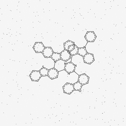 c1ccc(-n2c3ccccc3c3c(-c4nc(-c5ccc6c(sc7ccccc76)c5-n5c6cc7ccccc7cc6c6c7ccccc7ccc65)nc(-c5cccc6oc7ccccc7c56)n4)cccc32)cc1